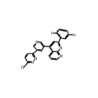 Fc1ccc(Cl)cc1-c1cc(-c2cncc(-c3ccc(Cl)nn3)c2)c2cccnc2n1